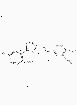 COc1ccc(Cl)cc1-c1ccc(C=Cc2cc(C(F)(F)F)[n+]([O-])cn2)o1